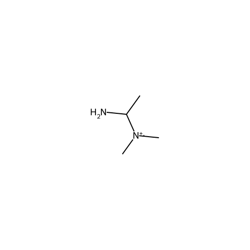 CC(N)[N+](C)C